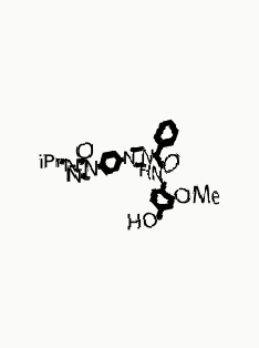 COc1cc(CO)ccc1CNC(=O)C(c1ccccc1)N1CCN(c2ccc(-n3cnn(C(C)C)c3=O)cc2)CC1